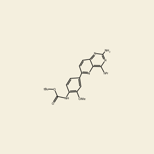 CCCc1nc(N)nc2ccc(-c3ccc(NC(=O)OC(C)(C)C)c(OC)c3)nc12